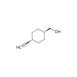 C#C[C@H]1CC[C@@H](CO)CC1